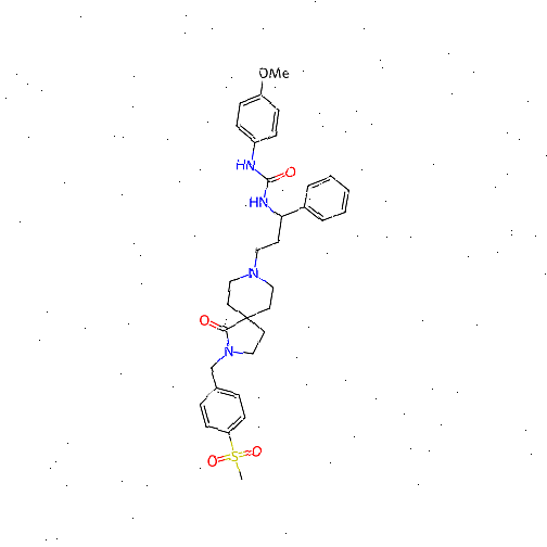 COc1ccc(NC(=O)NC(CCN2CCC3(CC2)CCN(Cc2ccc(S(C)(=O)=O)cc2)C3=O)c2ccccc2)cc1